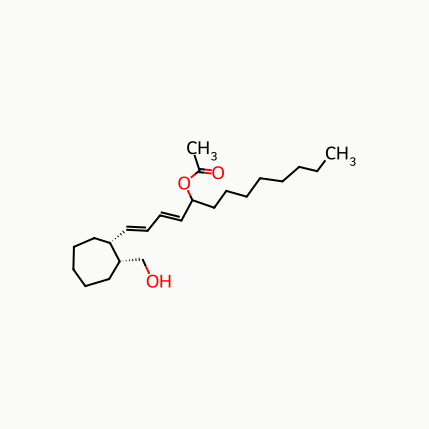 CCCCCCCCC(C=CC=C[C@H]1CCCCC[C@H]1CO)OC(C)=O